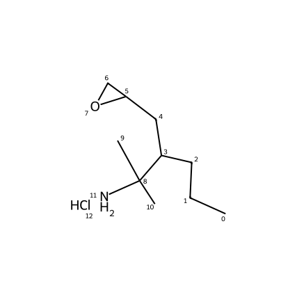 CCCC(CC1CO1)C(C)(C)N.Cl